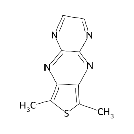 Cc1sc(C)c2nc3nccnc3nc12